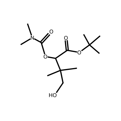 CN(C)C(=O)OC(C(=O)OC(C)(C)C)C(C)(C)CO